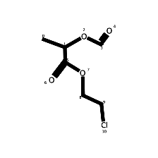 CC(O[C]=O)C(=O)OCCCl